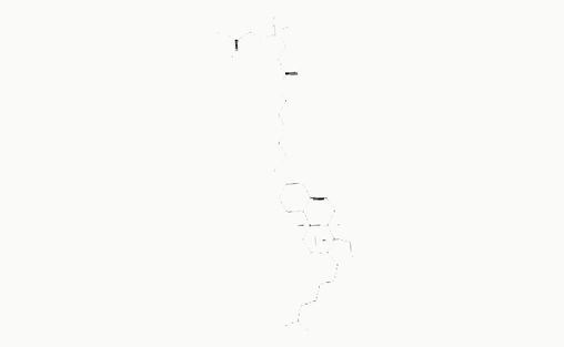 CC(C)CCC[C@@H](C)[C@H]1CC[C@H]2[C@@H]3CC=C4C[C@@H](OCCOCCOC(=O)CCP(=O)(O)OCC(=O)O)CC[C@]4(C)[C@H]3CC[C@]12C